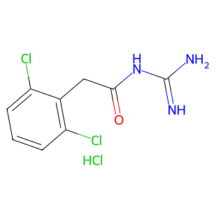 Cl.N=C(N)NC(=O)Cc1c(Cl)cccc1Cl